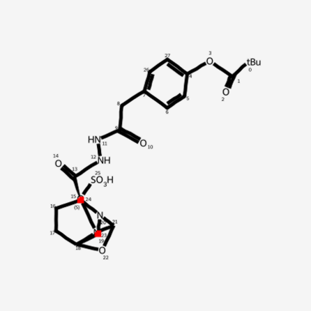 CC(C)(C)C(=O)Oc1ccc(CC(=O)NNC(=O)[C@@H]2CCC34CN2C(O3)N4OS(=O)(=O)O)cc1